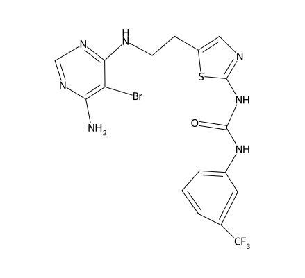 Nc1ncnc(NCCc2cnc(NC(=O)Nc3cccc(C(F)(F)F)c3)s2)c1Br